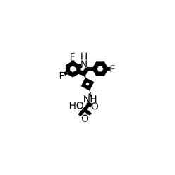 O=C(NC[C@H]1C[C@H](c2c(-c3ccc(F)cc3)[nH]c3c(F)cc(F)cc32)C1)C1(O)COC1